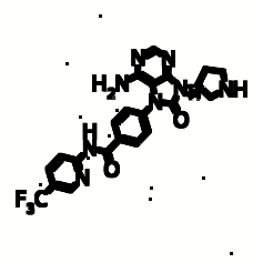 Nc1ncnc2c1n(-c1ccc(C(=O)Nc3ccc(C(F)(F)F)cn3)cc1)c(=O)n2[C@@H]1CCNC1